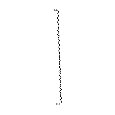 CCCCCCCCCCCCCCCCCCCCCCCCCCCCCCOCCCCCCCCCCCCCCCC